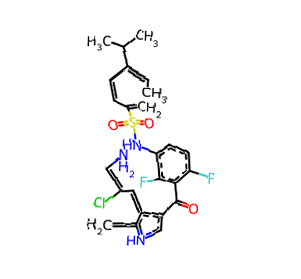 C=C(/C=C\C(=C/C)C(C)C)S(=O)(=O)Nc1ccc(F)c(C(=O)c2c[nH]c(=C)/c2=C\C(Cl)=C/N)c1F